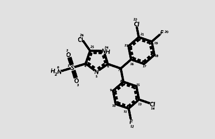 NS(=O)(=O)c1nc(C(c2ccc(F)c(Cl)c2)c2ccc(F)c(Cl)c2)[nH]c1Cl